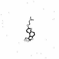 CCOC(=O)Cc1coc2ccc3nc(OCCN(C)C)ccc3c12